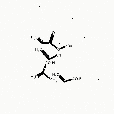 C=C(C)C(=O)O.C=CC#N.C=CC(=O)OCC.C=CC(=O)OCCCC